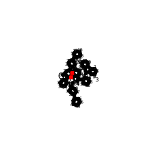 CC1(C)c2ccccc2-c2ccc(-n3c4ccccc4c4ccc(-c5ccc6c(c5)oc5cccc(N(c7ccc(-c8ccccc8)cc7)c7nc(-c8ccccc8)c8ccccc8n7)c56)cc43)cc21